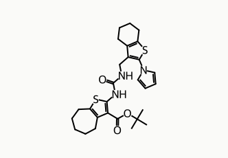 CC(C)(C)OC(=O)c1c(NC(=O)NCc2c(-n3cccc3)sc3c2CCCC3)sc2c1CCCCC2